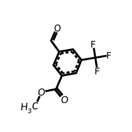 COC(=O)c1cc(C=O)cc(C(F)(F)F)c1